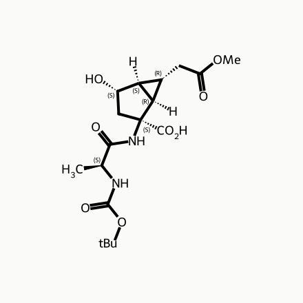 COC(=O)C[C@H]1[C@H]2[C@@H]1[C@](NC(=O)[C@H](C)NC(=O)OC(C)(C)C)(C(=O)O)C[C@@H]2O